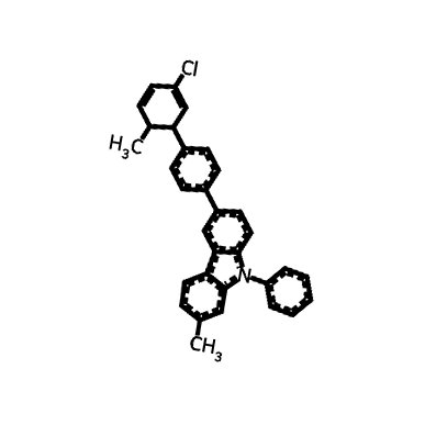 Cc1ccc2c3cc(-c4ccc(C5C=C(Cl)C=CC5C)cc4)ccc3n(-c3ccccc3)c2c1